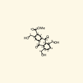 COC(=O)c1cc2c(cc1CO)C(=O)c1c(CO)ccc(CO)c1C2=O